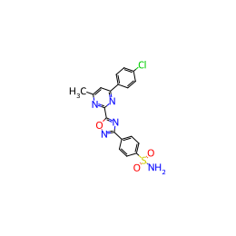 Cc1cc(-c2ccc(Cl)cc2)nc(-c2nc(-c3ccc(S(N)(=O)=O)cc3)no2)n1